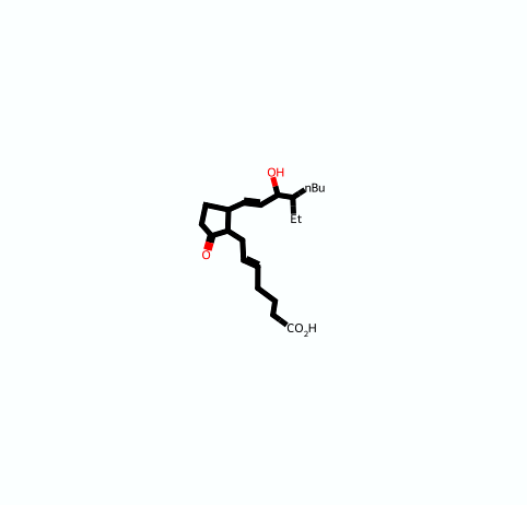 CCCCC(CC)C(O)C=CC1CCC(=O)C1CC=CCCCC(=O)O